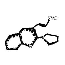 O=[C]C=Cc1cc2ccccc2nc1N1CCCC1